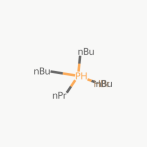 Br.CCCC[PH](CCC)(CCCC)CCCC